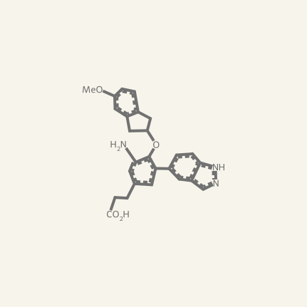 COc1ccc2c(c1)CC(Oc1c(N)cc(CCC(=O)O)cc1-c1ccc3[nH]ncc3c1)C2